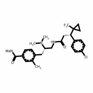 CNC(=O)c1ccc(C[C@@H](CNC(=O)C[C@@H](c2ccc(Cl)cc2)C2(C(F)(F)F)CC2)N(C)C)c(C)c1